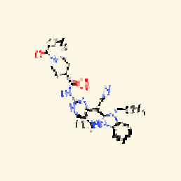 CCN1/C(=C(\C#N)c2nc(NC(=O)C3CCN(C(C)=O)CC3)ncc2C)Nc2ccccc21